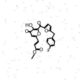 CCOC(=O)/C=C/c1cc(=O)c(O)c(C(=O)c2ccc(Cc3ccc(F)cc3)o2)o1